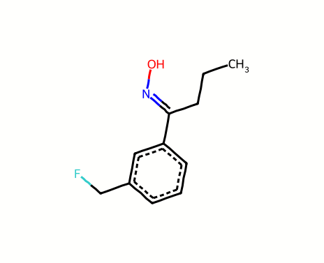 CCCC(=NO)c1cccc(CF)c1